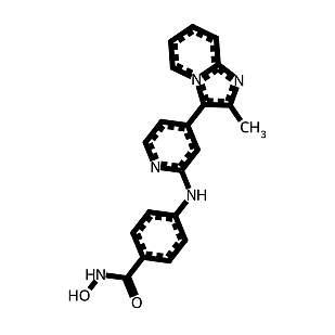 Cc1nc2ccccn2c1-c1ccnc(Nc2ccc(C(=O)NO)cc2)c1